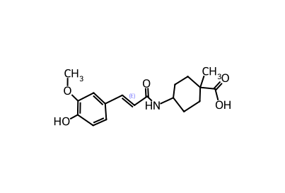 COc1cc(/C=C/C(=O)NC2CCC(C)(C(=O)O)CC2)ccc1O